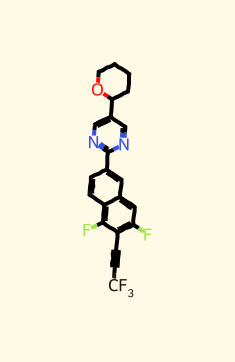 Fc1cc2cc(-c3ncc(C4CCCCO4)cn3)ccc2c(F)c1C#CC(F)(F)F